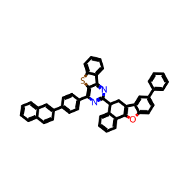 c1ccc(-c2ccc3oc4c(c3c2)CC(c2nc(-c3ccc(-c5ccc6ccccc6c5)cc3)c3sc5ccccc5c3n2)c2ccccc2-4)cc1